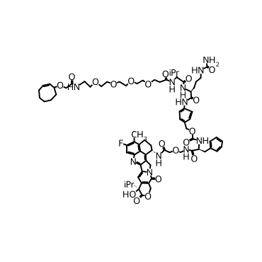 Cc1c(F)cc2nc3c(c4c2c1CC[C@@H]4NC(=O)COCNC(=O)[C@H](Cc1ccccc1)NC(=O)OCc1ccc(NC(=O)[C@H](CCCNC(N)=O)NC(=O)[C@@H](NC(=O)CCOCCOCCOCCOCCNC(=O)COC2/C=C\CCCCC2)C(C)C)cc1)Cn1c-3cc2c(c1=O)COC(=O)[C@]2(O)C(C)C